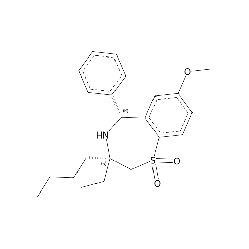 CCCC[C@@]1(CC)CS(=O)(=O)c2ccc(OC)cc2[C@@H](c2ccccc2)N1